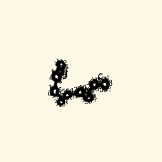 c1cc(-c2ccc3c(c2)oc2ccccc23)cc(-n2c3ccccc3c3cc(-c4ccc5c(c4)c4ccccc4n5-c4ccc5sc6ccccc6c5c4)ccc32)c1